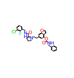 O=C(NCc1ccccc1)Oc1cc(CCN2CCC[C@H]2C(=O)NCc2cccc(Cl)c2F)cc2occc12